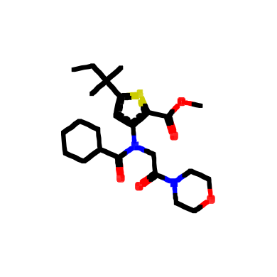 CCC(C)(C)c1cc(N(CC(=O)N2CCOCC2)C(=O)C2CCCCC2)c(C(=O)OC)s1